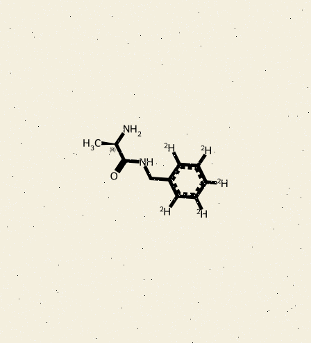 [2H]c1c([2H])c([2H])c(CNC(=O)[C@@H](C)N)c([2H])c1[2H]